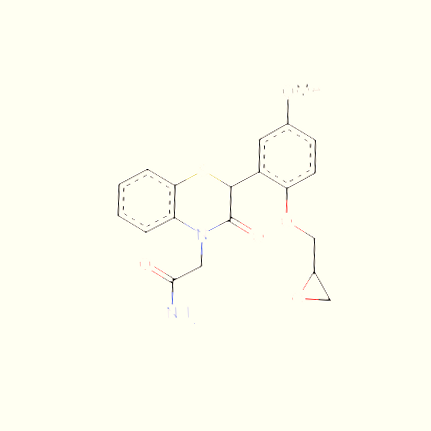 COc1ccc(OCC2CO2)c(C2Sc3ccccc3N(CC(N)=O)C2=O)c1